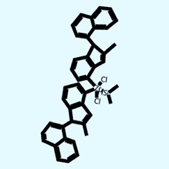 CC1=Cc2c(ccc[c]2[Zr]([Cl])([Cl])([c]2cccc3c2C=C(C)C3c2cccc3ccccc23)[SiH](C)C)C1c1cccc2ccccc12